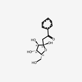 O=C(C[C@]1(O)O[C@H](CO)[C@H](O)[C@H]1O)c1ccccc1